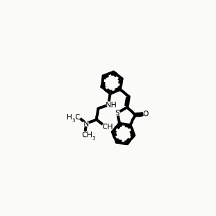 CC(CNc1ccccc1C=C1Sc2ccccc2C1=O)N(C)C